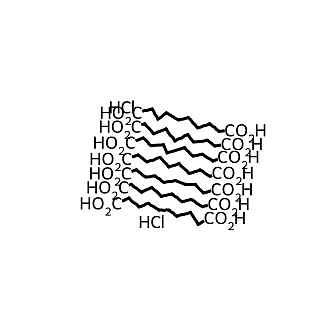 Cl.Cl.O=C(O)CCCCCCCCC(=O)O.O=C(O)CCCCCCCCC(=O)O.O=C(O)CCCCCCCCC(=O)O.O=C(O)CCCCCCCCC(=O)O.O=C(O)CCCCCCCCC(=O)O.O=C(O)CCCCCCCCC(=O)O.O=C(O)CCCCCCCCC(=O)O